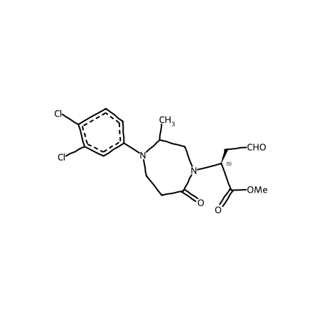 COC(=O)[C@H](CC=O)N1CC(C)N(c2ccc(Cl)c(Cl)c2)CCC1=O